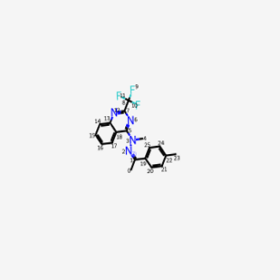 C/C(=N/N(C)c1nc(C(F)(F)F)nc2ccccc12)c1ccc(C)cc1